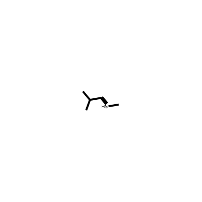 C[SiH]=C[C](C)C